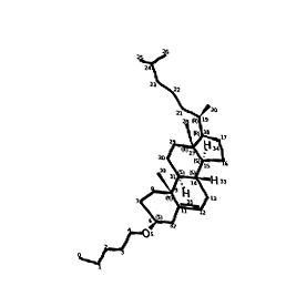 CCCCCO[C@H]1CC[C@@]2(C)C(=CC[C@H]3[C@@H]4CC[C@H]([C@H](C)CCCC(C)C)[C@@]4(C)CC[C@@H]32)C1